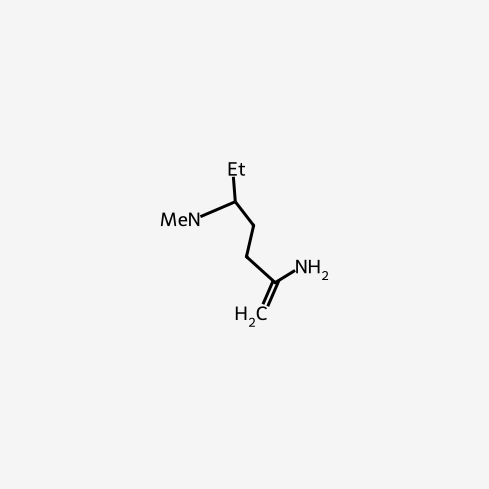 C=C(N)CCC(CC)NC